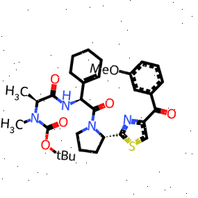 COc1cccc(C(=O)c2csc([C@@H]3CCCN3C(=O)[C@@H](NC(=O)[C@H](C)N(C)C(=O)OC(C)(C)C)C3=CCCCC3)n2)c1